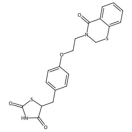 O=C1NC(=O)C(Cc2ccc(OCCN3CSc4ccccc4C3=O)cc2)S1